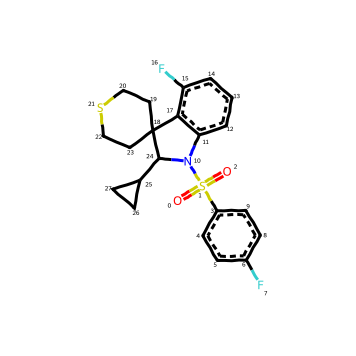 O=S(=O)(c1ccc(F)cc1)N1c2cccc(F)c2C2(CCSCC2)C1C1CC1